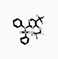 C[C@@H](O)[C@@H](C)Oc1nc(N(c2ccccc2)S(=O)(=O)c2ccccc2)ncc1C(F)(F)F